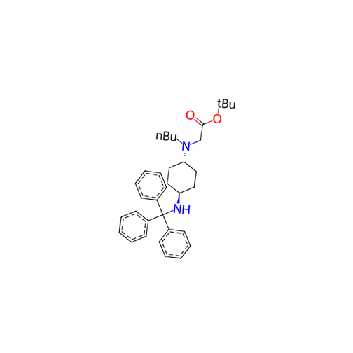 CCCCN(CC(=O)OC(C)(C)C)[C@H]1CC[C@H](NC(c2ccccc2)(c2ccccc2)c2ccccc2)CC1